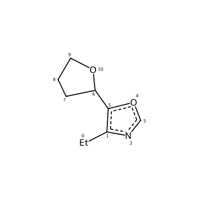 CCc1ncoc1C1CCCO1